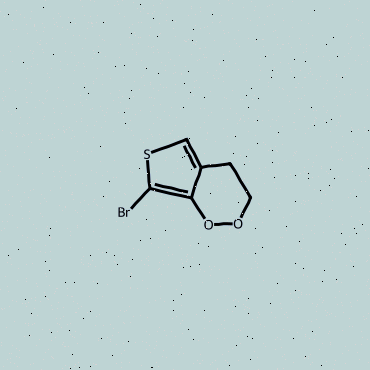 Brc1scc2c1OOCC2